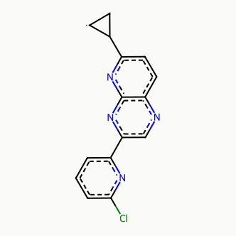 Clc1cccc(-c2cnc3ccc(C4[CH]C4)nc3n2)n1